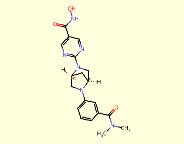 CN(C)C(=O)c1cccc(N2C[C@@H]3C[C@H]2CN3c2ncc(C(=O)NO)cn2)c1